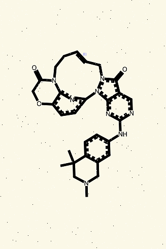 CN1Cc2cc(Nc3ncc4c(=O)n5n(c4n3)-c3ccc4c(n3)N(CC/C=C/C5)C(=O)CO4)ccc2C(C)(C)C1